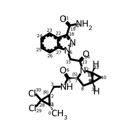 C[C@H]1[C@H](CNC(=O)[C@@H]2C[C@H]3C[C@H]3N2C(=O)Cn2nc(C(N)=O)c3ccccc32)C1(Cl)Cl